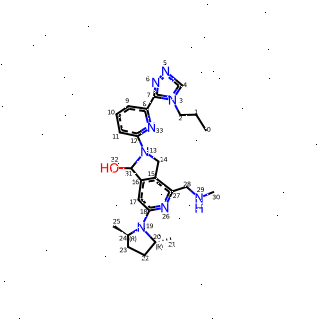 CCCn1cnnc1-c1cccc(N2Cc3c(cc(N4[C@H](C)CC[C@H]4C)nc3CNC)C2O)n1